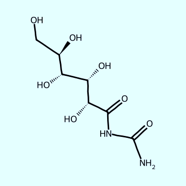 NC(=O)NC(=O)[C@H](O)[C@@H](O)[C@H](O)[C@H](O)CO